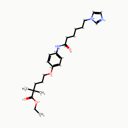 CCOC(=O)C(C)(C)CCCOc1ccc(NC(=O)CCCCCn2ccnc2)cc1